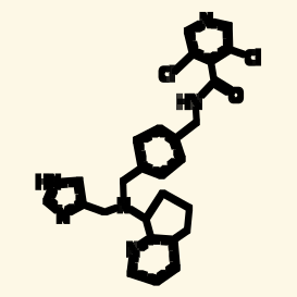 O=C(NCc1ccc(CN(Cc2c[nH]cn2)C2CCCc3cccnc32)cc1)c1c(Cl)cncc1Cl